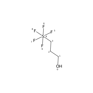 OCCCS(F)(F)(F)(F)F